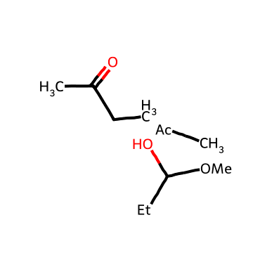 CC(C)=O.CCC(C)=O.CCC(O)OC